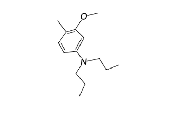 CCCN(CCC)c1ccc(C)c(OC)c1